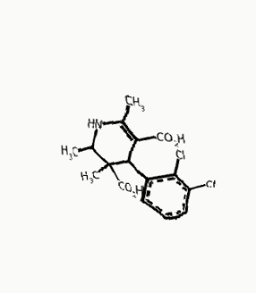 CC1=C(C(=O)O)C(c2cccc(Cl)c2Cl)C(C)(C(=O)O)C(C)N1